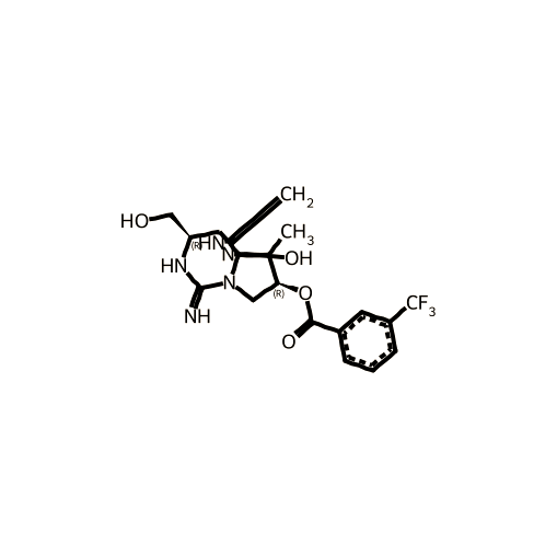 C=C1NC2[C@H](CO)NC(=N)N3C[C@H](OC(=O)c4cccc(C(F)(F)F)c4)C(C)C23N1O